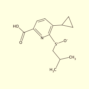 CC(C)C[S+]([O-])c1nc(C(=O)O)ccc1C1CC1